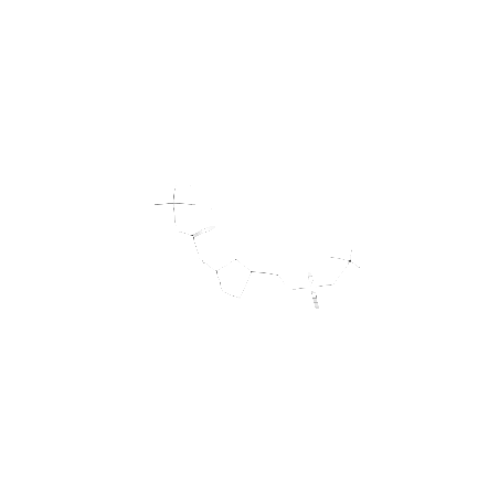 CC(C)(C)OC(=O)NC1CCC(COS(=O)(=O)CC(F)(F)F)C1